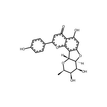 C[C@H]1O[C@@H]2c3c(cc(O)c4c(=O)cc(-c5ccc(O)cc5)oc34)O[C@H]2[C@@H](O)[C@H]1O